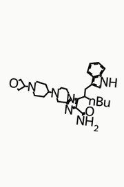 CCCCC(Cc1c[nH]c2ccccc12)c1c(C(N)=O)nc2n1CCN(C1CCN(C3COC3)CC1)C2